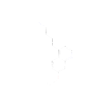 COc1ccc2c(CCCCN)ccnc2c1